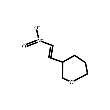 O=[N+]([O-])/C=C/C1CCCOC1